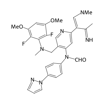 CN/C=C(\C(C)=N)c1cc(N(C=O)c2ccc(-n3cccn3)cc2)c(CN(C)c2c(F)c(OC)cc(OC)c2F)cn1